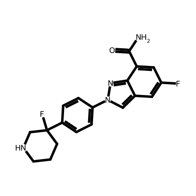 NC(=O)c1cc(F)cc2cn(-c3ccc(C4(F)CCCNC4)cc3)nc12